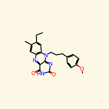 CCc1cc2c(cc1C)nc1c(=O)[nH]c(=O)nc-1n2CCCc1ccc(OC)cc1